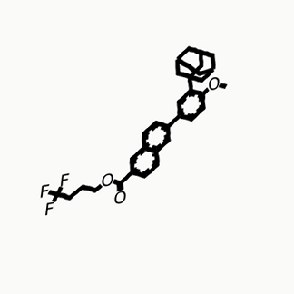 COc1ccc(-c2ccc3cc(C(=O)OCCCC(F)(F)F)ccc3c2)cc1C12CC3CC(CC(C3)C1)C2